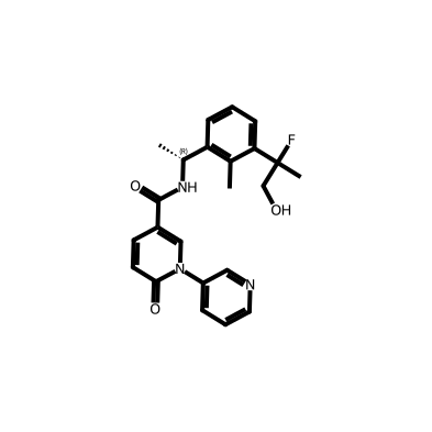 Cc1c([C@@H](C)NC(=O)c2ccc(=O)n(-c3cccnc3)c2)cccc1C(C)(F)CO